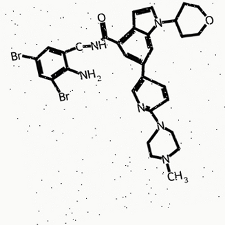 CN1CCN(c2ccc(-c3cc(C(=O)NCc4cc(Br)cc(Br)c4N)c4ccn(C5CCOCC5)c4c3)cn2)CC1